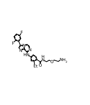 CCc1cc(Nc2nccn3c(-c4cc(F)ccc4F)cnc23)ccc1C(=O)NCCOCCN